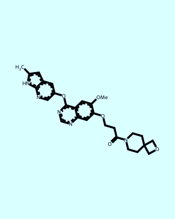 COc1cc2c(Oc3cnc4[nH]c(C)cc4c3)ncnc2cc1OCCC(=O)N1CCC2(CC1)COC2